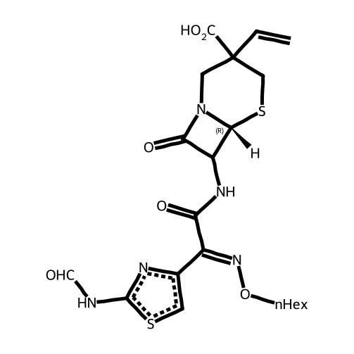 C=CC1(C(=O)O)CS[C@@H]2C(NC(=O)C(=NOCCCCCC)c3csc(NC=O)n3)C(=O)N2C1